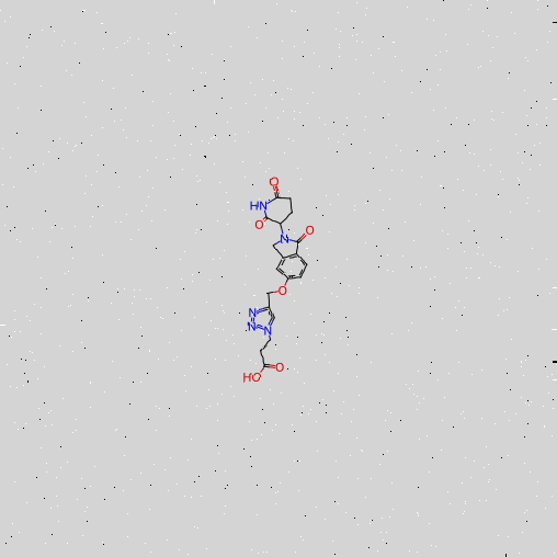 O=C(O)CCn1cc(COc2ccc3c(c2)CN(C2CCC(=O)NC2=O)C3=O)nn1